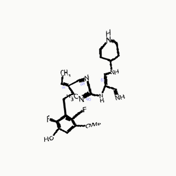 C\C=C(/C=N\C(=N/C)N/C(C=N)=C/NC1CCNCC1)CCc1c(F)c(O)cc(OC)c1F